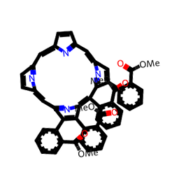 COC(=O)c1ccccc1C1=CC2=CC3=NC(=CC4=NC(=CC5=NC(=C(c6ccccc6C(=O)OC)C1=N2)C(c1ccccc1C(=O)OC)=C5c1ccccc1C(=O)OC)C=C4)C=C3